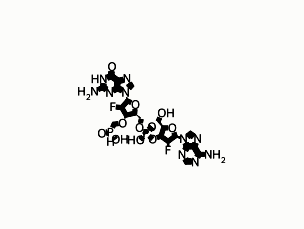 Nc1nc2c(ncn2[C@@H]2O[C@H](COP(=O)(O)OC3[C@@H](CO)O[C@@H](n4cnc5c(N)ncnc54)[C@H]3F)[C@H](OC[PH](=O)O)C2F)c(=O)[nH]1